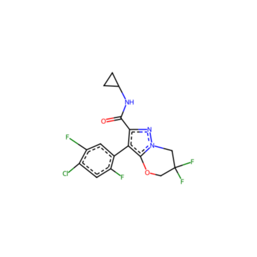 O=C(NC1CC1)c1nn2c(c1-c1cc(F)c(Cl)cc1F)OCC(F)(F)C2